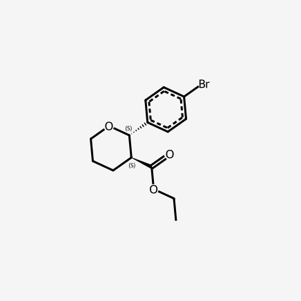 CCOC(=O)[C@H]1CCCO[C@@H]1c1ccc(Br)cc1